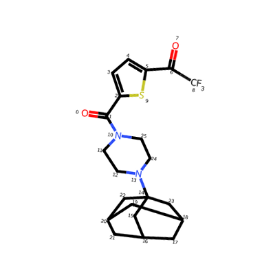 O=C(c1ccc(C(=O)C(F)(F)F)s1)N1CCN(C23CC4CC(CC(C4)C2)C3)CC1